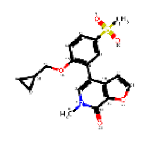 Cn1cc(-c2cc(S(C)(=O)=O)ccc2OCC2CC2)c2ccoc2c1=O